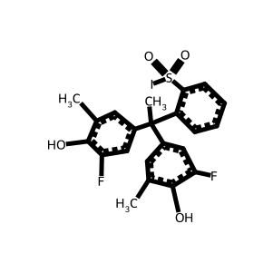 Cc1cc(C(C)(c2cc(C)c(O)c(F)c2)c2ccccc2S(=O)(=O)I)cc(F)c1O